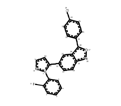 Fc1ccccc1-n1nccc1-c1ccc2noc(-c3ccc(Cl)cc3)c2c1